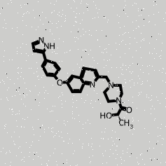 C[C@H](O)C(=O)N1CCN(Cc2ccc3cc(Oc4ccc(-c5ccn[nH]5)cc4)ccc3n2)CC1